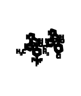 Cc1csc(-n2nccc2NS(=O)(=O)c2ccc(C(F)(F)F)cc2)n1.Cc1csc(-n2nccc2NS(=O)(=O)c2ccc(Cl)cc2)n1